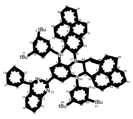 CC(C)(C)c1cc(N2c3cc(-c4nc(-c5ccccc5)c5ccccc5n4)cc4c3B(c3cc5ccc6cccc7ccc(c32)c5c67)C2C=c3ccc5cccc6ccc(c3c65)C2N4c2cc(C(C)(C)C)cc(C(C)(C)C)c2)cc(C(C)(C)C)c1